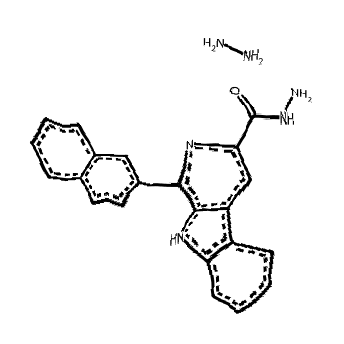 NN.NNC(=O)c1cc2c([nH]c3ccccc32)c(-c2ccc3ccccc3c2)n1